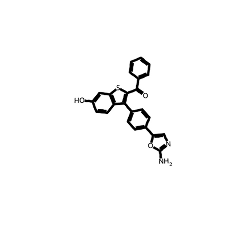 Nc1ncc(-c2ccc(-c3c(C(=O)c4ccccc4)sc4cc(O)ccc34)cc2)o1